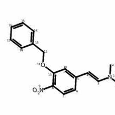 CN(C)/C=C/c1ccc([N+](=O)[O-])c(OCc2ccccc2)c1